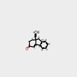 C#CC12CCC(=O)C=C1c1ccccc1C2